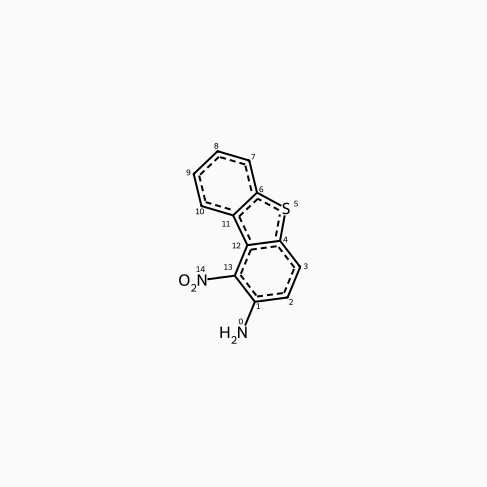 Nc1ccc2sc3ccccc3c2c1[N+](=O)[O-]